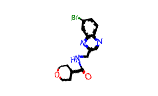 O=C(NCc1cnc2ccc(Br)cc2n1)C1CCOCC1